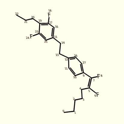 CCCCC/C(F)=C(/F)c1ccc(CCc2cc(F)c(CCC)c(F)c2)cc1